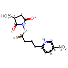 O=C1CC(S(=O)(=O)O)C(=O)N1SC(=S)CCCc1ccc([N+](=O)[O-])cn1